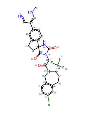 CN/C=C(\C=N)c1ccc2c(c1)CCC21NC(=O)N(CC(=O)N2Cc3ccc(F)cc3CC[C@H]2C(F)(F)F)C1=O